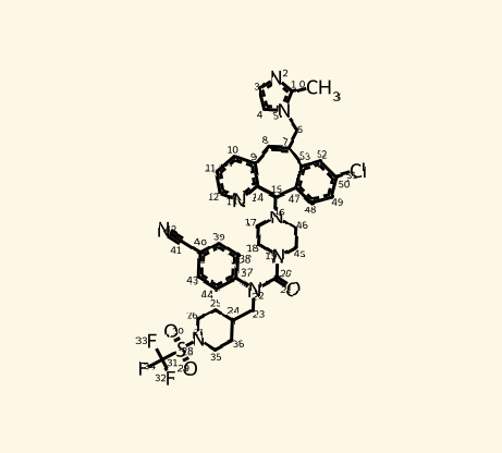 Cc1nccn1CC1=Cc2cccnc2C(N2CCN(C(=O)N(CC3CCN(S(=O)(=O)C(F)(F)F)CC3)c3ccc(C#N)cc3)CC2)c2ccc(Cl)cc21